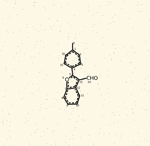 Cc1ccc(-c2oc3ccccc3c2C=O)cc1